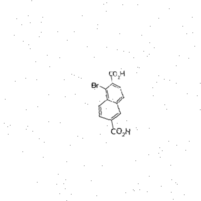 O=C(O)c1ccc2c(Br)c(C(=O)O)ccc2c1